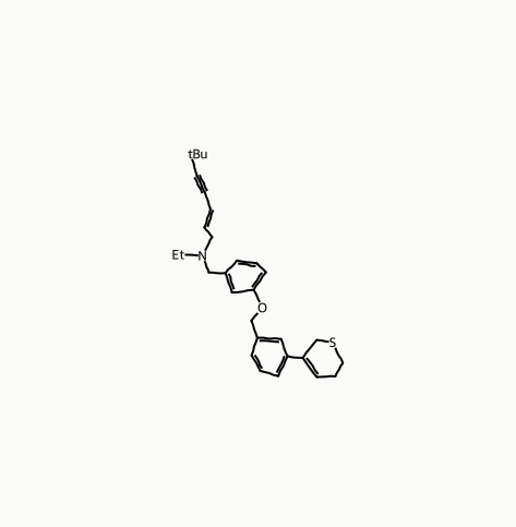 CCN(C/C=C/C#CC(C)(C)C)Cc1cccc(OCc2cccc(C3=CCCSC3)c2)c1